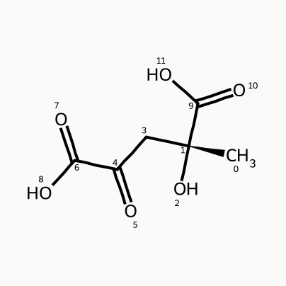 C[C@@](O)(CC(=O)C(=O)O)C(=O)O